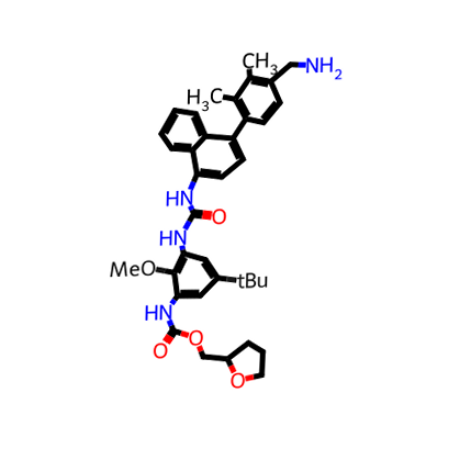 COc1c(NC(=O)Nc2ccc(-c3ccc(CN)c(C)c3C)c3ccccc23)cc(C(C)(C)C)cc1NC(=O)OCC1CCCO1